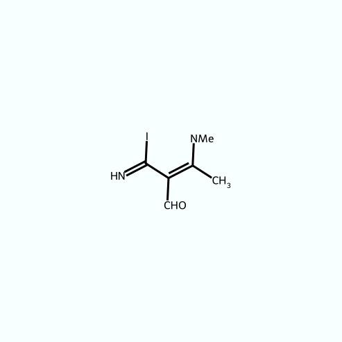 CN/C(C)=C(/C=O)C(=N)I